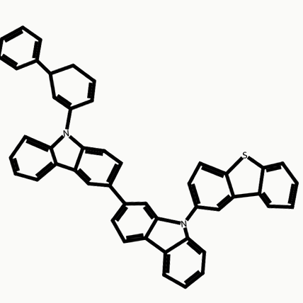 C1=CC(n2c3ccccc3c3cc(-c4ccc5c6ccccc6n(-c6ccc7sc8ccccc8c7c6)c5c4)ccc32)=CC(c2ccccc2)C1